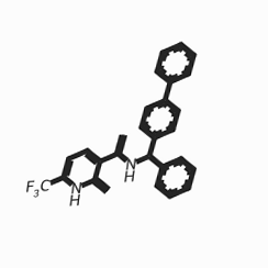 C=C1NC(C(F)(F)F)=CC=C1C(=C)NC(c1ccccc1)c1ccc(-c2ccccc2)cc1